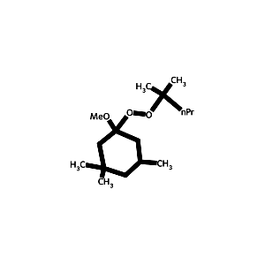 CCCC(C)(C)OOC1(OC)CC(C)CC(C)(C)C1